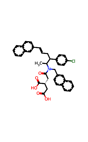 CC(C(CC=Cc1ccc2ccccc2c1)c1ccc(Cl)cc1)N(Cc1ccc2ccccc2c1)C(=O)C[C@H](CC(=O)O)C(=O)O